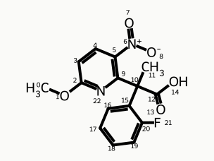 COc1ccc([N+](=O)[O-])c(C(C)(C(=O)O)c2ccccc2F)n1